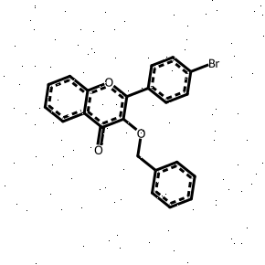 O=c1c(OCc2ccccc2)c(-c2ccc(Br)cc2)oc2ccccc12